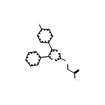 O=C(O)CSc1nc(-c2ccc(Br)cc2)c(-c2ccccc2)s1